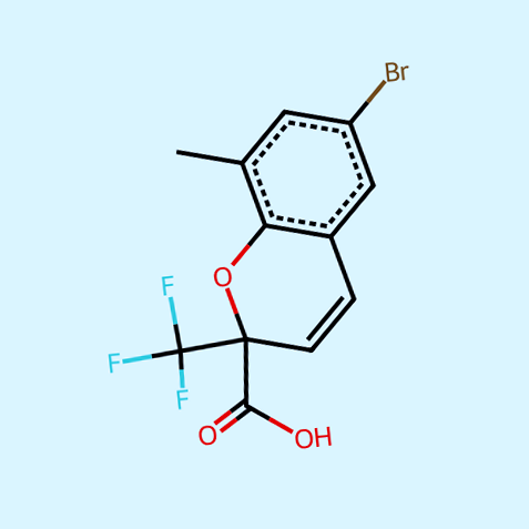 Cc1cc(Br)cc2c1OC(C(=O)O)(C(F)(F)F)C=C2